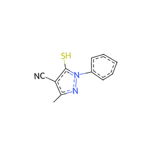 Cc1nn(-c2ccccc2)c(S)c1C#N